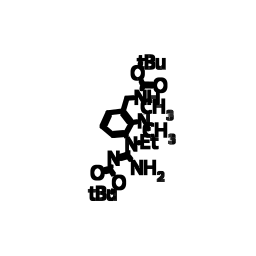 CCN(C(N)=NC(=O)OC(C)(C)C)c1cccc(CNC(=O)OC(C)(C)C)c1N(C)C